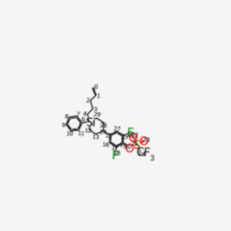 C=CCCC[Si]1(c2ccccc2)CCC(c2cc(F)c(OS(=O)(=O)C(F)(F)F)c(F)c2)CC1